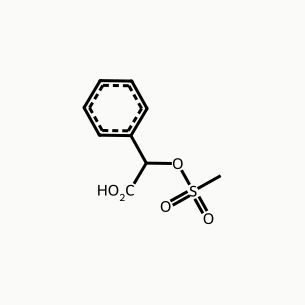 CS(=O)(=O)OC(C(=O)O)c1ccccc1